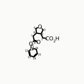 O=C(O)CC1COCC1CC(=O)ON1C=CC=CC1